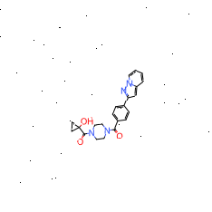 O=C(c1ccc(-c2cc3ccccn3n2)cc1)N1CCN(C(=O)C2(O)CC2)CC1